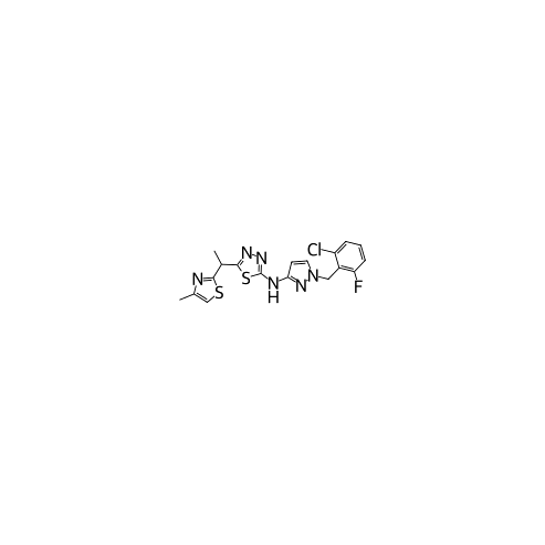 Cc1csc(C(C)c2nnc(Nc3ccn(Cc4c(F)cccc4Cl)n3)s2)n1